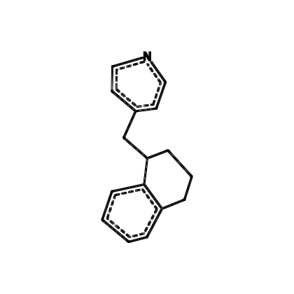 c1ccc2c(c1)CCCC2Cc1ccncc1